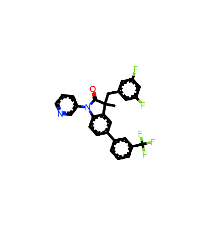 CC1(Cc2cc(F)cc(F)c2)C(=O)N(c2cccnc2)c2ccc(-c3cccc(C(F)(F)F)c3)cc21